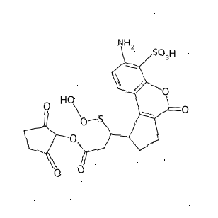 Nc1ccc2c3c(c(=O)oc2c1S(=O)(=O)O)CCC3C(CC(=O)OC1C(=O)CCC1=O)SOO